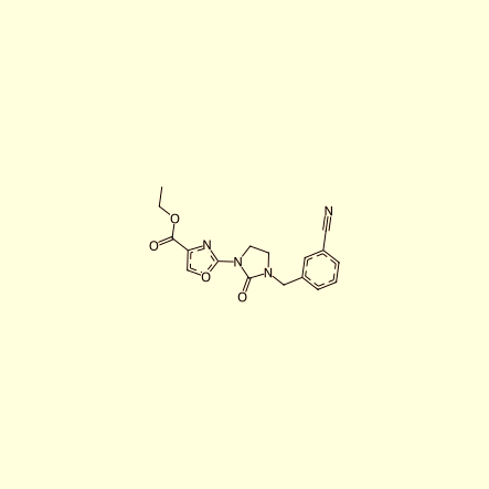 CCOC(=O)c1coc(N2CCN(Cc3cccc(C#N)c3)C2=O)n1